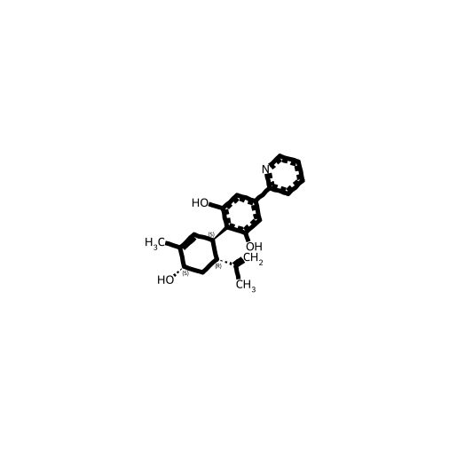 C=C(C)[C@@H]1C[C@H](O)C(C)=C[C@H]1c1c(O)cc(-c2ccccn2)cc1O